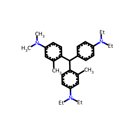 CCN(CC)c1ccc(C(c2ccc(N(C)C)cc2C)c2ccc(N(CC)CC)cc2C)cc1